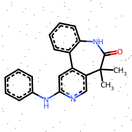 CC1(C)C(=O)Nc2ccccc2-c2cc(Nc3ccccc3)ncc21